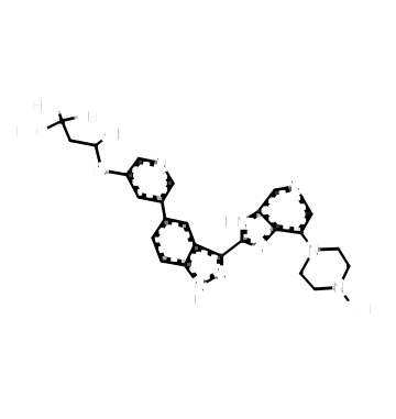 CN1CCN(c2cncc3[nH]c(-c4n[nH]c5ccc(-c6cncc(NC(O)CC(C)(C)C)c6)cc45)nc23)CC1